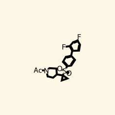 CC(=O)N1CCC(C2(S(=O)(=O)c3ccc(-c4ccc(F)cc4F)cc3)CC2)CC1